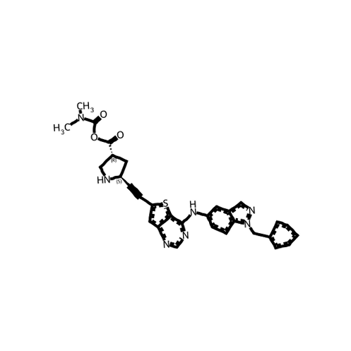 CN(C)C(=O)OC(=O)[C@H]1CN[C@H](C#Cc2cc3ncnc(Nc4ccc5c(cnn5Cc5ccccc5)c4)c3s2)C1